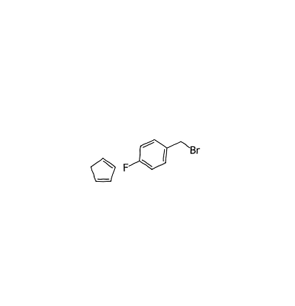 C1=CCC=C1.Fc1ccc(CBr)cc1